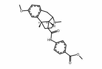 COC(=O)c1ccc(NC(=O)C[C@H]2C3Cc4ccc(OC)cc4[C@@]2(C)CCN3C)cc1